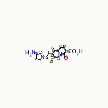 Cc1c(CCN2CCC(N)C2)c(F)cn2c(=O)c(C(=O)O)ccc12